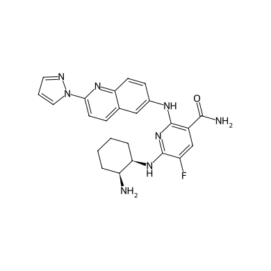 NC(=O)c1cc(F)c(N[C@@H]2CCCC[C@@H]2N)nc1Nc1ccc2nc(-n3cccn3)ccc2c1